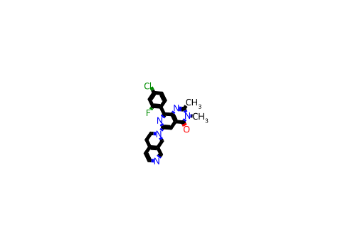 Cc1nc2c(-c3ccc(Cl)cc3F)nc(N3CCc4ccncc4C3)cc2c(=O)n1C